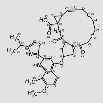 COc1ccc2c(OC3CC4C(=O)NC5(C(=O)O)CC5/C=C\CCCCCCC(=O)N4C3)cc(-c3nc(C(C)C)cs3)nc2c1C